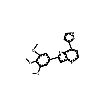 COc1cc(-c2cc3nccc(-c4cc[nH]n4)c3o2)cc(OC)c1OC